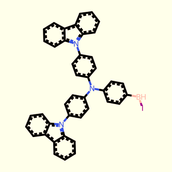 IBc1ccc(N(c2ccc(-n3c4ccccc4c4ccccc43)cc2)c2ccc(-n3c4ccccc4c4ccccc43)cc2)cc1